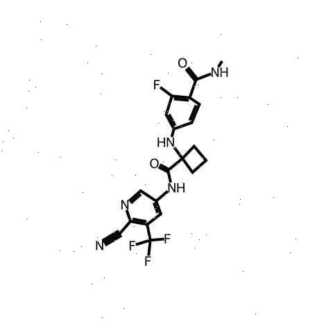 CNC(=O)c1ccc(NC2(C(=O)Nc3cnc(C#N)c(C(F)(F)F)c3)CCC2)cc1F